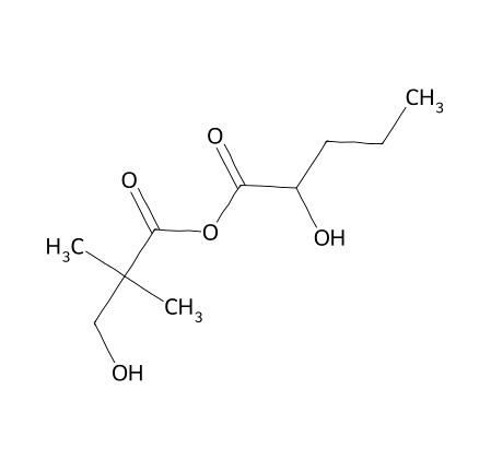 CCCC(O)C(=O)OC(=O)C(C)(C)CO